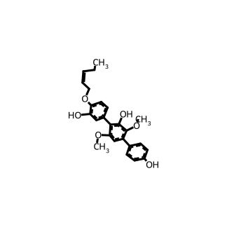 CC/C=C\COc1ccc(-c2c(OC)cc(-c3ccc(O)cc3)c(OC)c2O)cc1O